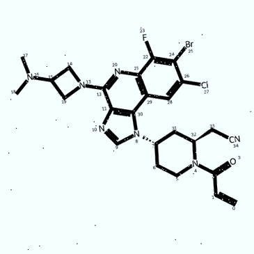 C=CC(=O)N1CC[C@H](n2cnc3c(N4CC(N(C)C)C4)nc4c(F)c(Br)c(Cl)cc4c32)C[C@H]1CC#N